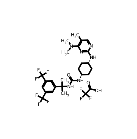 Cc1cnc(N[C@H]2CC[C@@H](NC(=O)NC(C)(C)c3cc(C(F)(F)F)cc(C(F)(F)F)c3)CC2)nc1N(C)C.O=C(O)C(F)(F)F